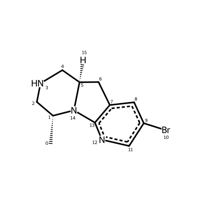 C[C@@H]1CNC[C@H]2Cc3cc(Br)cnc3N21